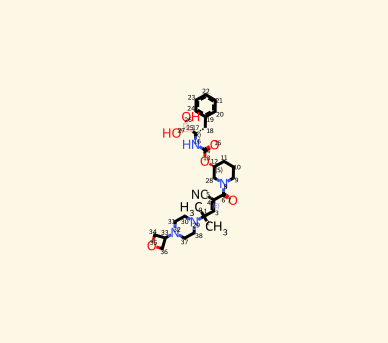 CC(C)(/C=C(\C#N)C(=O)N1CCC[C@H](OC(=O)N[C@@H](Cc2ccccc2)B(O)O)C1)N1CCN(C2COC2)CC1